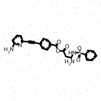 Nc1cccc(C#Cc2ccc(C(=O)OC(=O)C[C@@H](N)NS(=O)(=O)c3ccccc3)cc2)n1